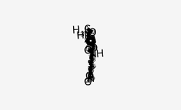 CC(=O)Nc1ccc(OC(=O)NCCSSCCON=O)cc1